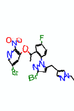 CCn1cc(Cc2cc(Br)nn2-c2ccc(F)cc2C(C)Oc2cc(Br)cnc2[N+](=O)[O-])cn1